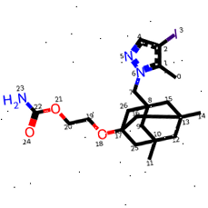 Cc1c(I)cnn1CC12CC3(C)CC(C)(C1)CC(OCCOC(N)=O)(C3)C2